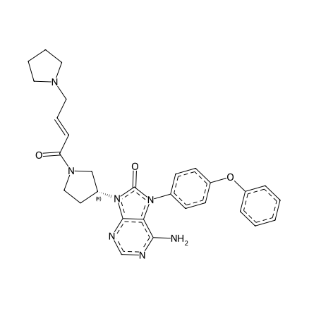 Nc1ncnc2c1n(-c1ccc(Oc3ccccc3)cc1)c(=O)n2[C@@H]1CCN(C(=O)C=CCN2CCCC2)C1